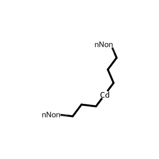 CCCCCCCCCCC[CH2][Cd][CH2]CCCCCCCCCCC